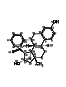 C[C@]12CC[C@@H]3c4ccc(O)cc4C[C@@H](c4ccccc4)[C@H]3[C@@H]1[C@H](C=S)[C@@H](O)C2